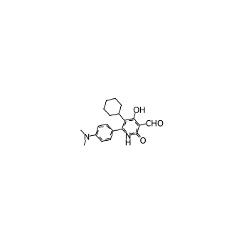 CN(C)c1ccc(-c2[nH]c(=O)c(C=O)c(O)c2C2CCCCC2)cc1